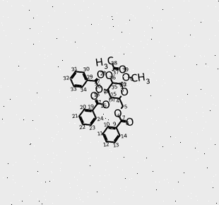 CO[C@@H]1OC(COC(=O)c2ccccc2)[C@H](OC(=O)c2ccccc2)[C@H](OC(=O)c2ccccc2)C1OC(C)=O